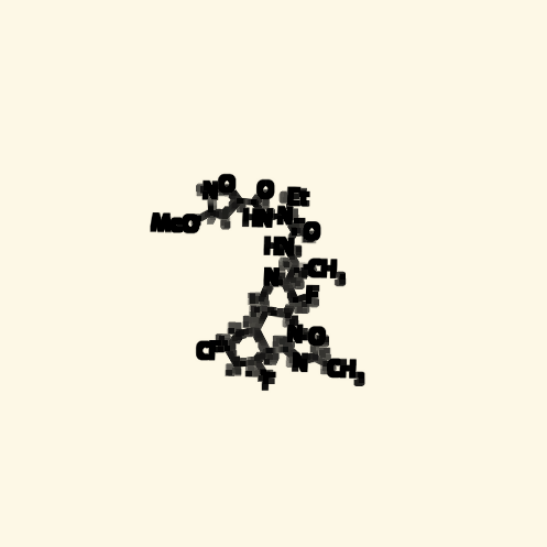 CCN(NC(=O)c1cc(OC)no1)C(=O)N[C@H](C)c1ncc(-c2cc(Cl)cc(F)c2-c2noc(C)n2)cc1F